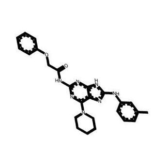 Cc1cccc(Nc2nc3c(N4CCCCC4)nc(NC(=O)COc4ccccc4)nc3[nH]2)c1